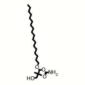 CCCCCCCCCCCCCCCCCCOC(OC(N)=O)C(C)(C)CO